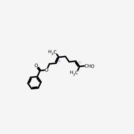 C/C(C=O)=C\CC/C(C)=C/COC(=O)c1ccccc1